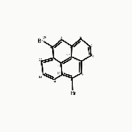 Brc1cc2cccc3cc(Br)c4cccc1c4c23